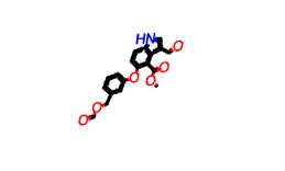 COC(=O)c1c(Oc2cccc(COC=O)c2)ccc2[nH]cc(C=O)c12